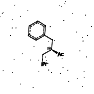 C[C](C)C[C@@H](Cc1ccccc1)C(C)=O